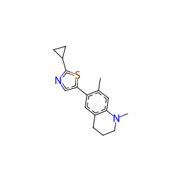 Cc1cc2c(cc1-c1cnc(C3CC3)s1)CCCN2C